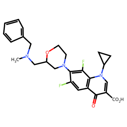 CN(Cc1ccccc1)CC1CN(c2c(F)cc3c(=O)c(C(=O)O)cn(C4CC4)c3c2F)CCO1